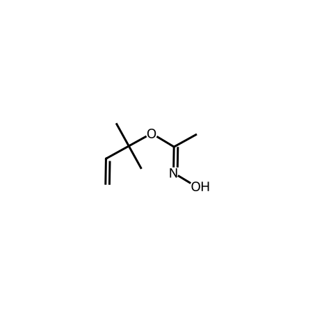 C=CC(C)(C)OC(C)=NO